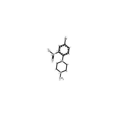 CN1CCN(c2ccc(Br)cc2[N+](=O)[O-])CC1